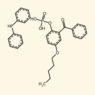 CCCCCOc1ccc(OP(=O)(O)O)c(C(=O)c2ccccc2)c1.c1ccc(Pc2ccccc2)cc1